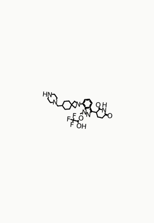 Cn1nc(C2CCC(=O)NC2=O)c2cccc(N3CC4(CCC(CN5CCNCC5)CC4)C3)c21.O=C(O)C(F)(F)F